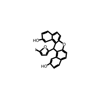 Oc1ccc2ccc3c(c2c1)C(c1ccc(I)o1)c1c(ccc2ccc(O)cc12)O3